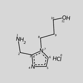 Cl.NCc1nccn1CCCO